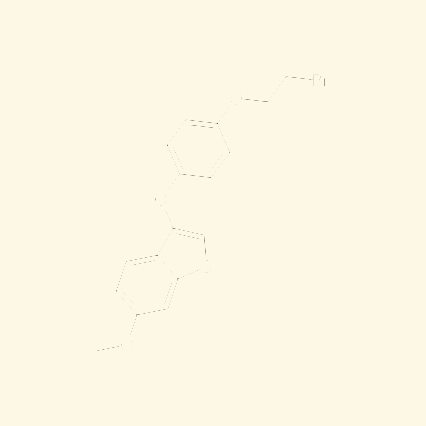 COc1ccc2c(Oc3ccc(OCCBr)cc3)[c]sc2c1